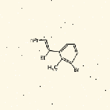 CCC/C=C(\CC)c1cccc(Br)c1C